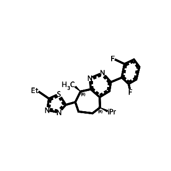 CCc1nnc(C2CC[C@H](C(C)C)c3cc(-c4c(F)cccc4F)nnc3[C@@H]2C)s1